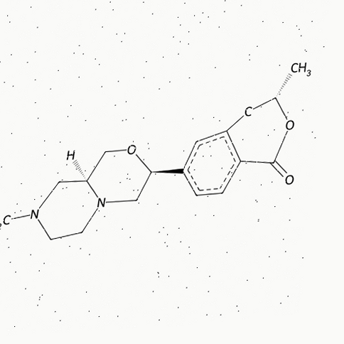 C[C@H]1Cc2cc([C@H]3CN4CCN(C(=O)O)C[C@H]4CO3)ccc2C(=O)O1